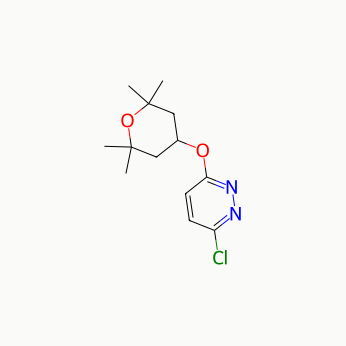 CC1(C)CC(Oc2ccc(Cl)nn2)CC(C)(C)O1